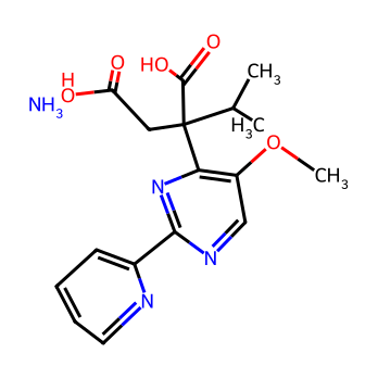 COc1cnc(-c2ccccn2)nc1C(CC(=O)O)(C(=O)O)C(C)C.N